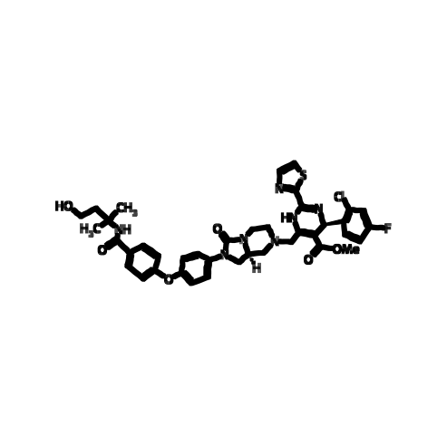 COC(=O)C1=C(CN2CCN3C(=O)N(c4ccc(Oc5ccc(C(=O)NC(C)(C)CCO)cc5)cc4)C[C@@H]3C2)NC(c2nccs2)=N[C@H]1c1ccc(F)cc1Cl